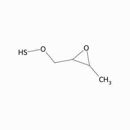 CC1OC1COS